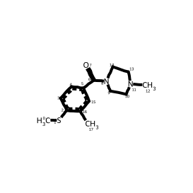 CSc1ccc(C(=O)N2CCN(C)CC2)cc1C